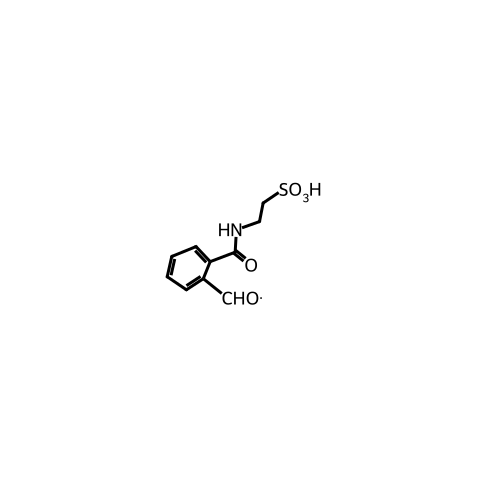 O=[C]c1ccccc1C(=O)NCCS(=O)(=O)O